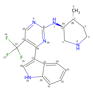 C[C@@H]1CCNC[C@H]1Nc1ncc(C(F)(F)F)c(-c2c[nH]c3ccccc23)n1